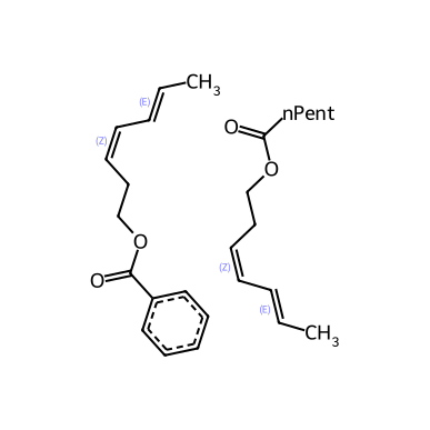 C/C=C/C=C\CCOC(=O)CCCCC.C/C=C/C=C\CCOC(=O)c1ccccc1